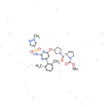 Cc1cccc(C)c1-c1cc(OC2CCN(C(=O)[C@@H]3C=CCN3C(=O)OC(C)(C)C)C2)nc(NS(=O)(=O)c2cnn(C)c2)n1